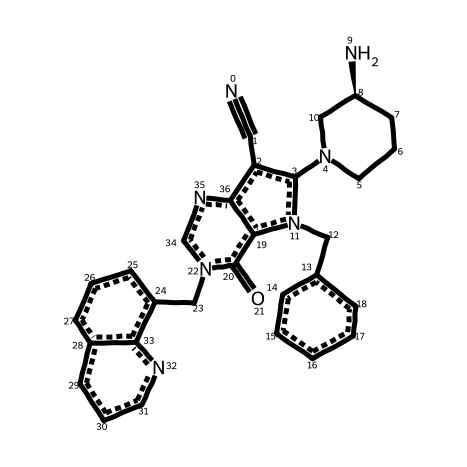 N#Cc1c(N2CCC[C@H](N)C2)n(Cc2ccccc2)c2c(=O)n(Cc3cccc4cccnc34)cnc12